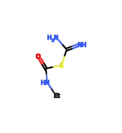 CCNC(=O)SC(=N)N